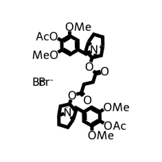 COc1cc(C[N+]2(C)C3CCC2CC(OC(=O)CCC(=O)OC2CC4CCC(C2)[N+]4(C)Cc2cc(OC)c(OC(C)=O)c(OC)c2)C3)cc(OC)c1OC(C)=O.[Br-].[Br-]